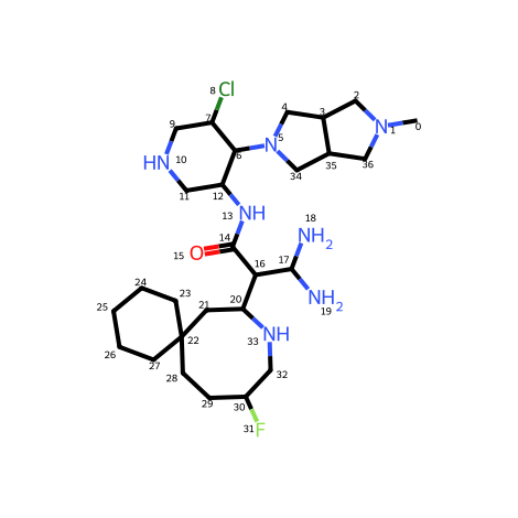 CN1CC2CN(C3C(Cl)CNCC3NC(=O)C(C(N)N)C3CC4(CCCCC4)CCC(F)CN3)CC2C1